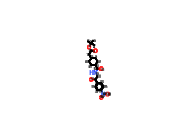 CC(C)(C)OC(=O)CC1CCC(C(=O)NCC(=O)c2ccc([N+](=O)[O-])cc2)CC1